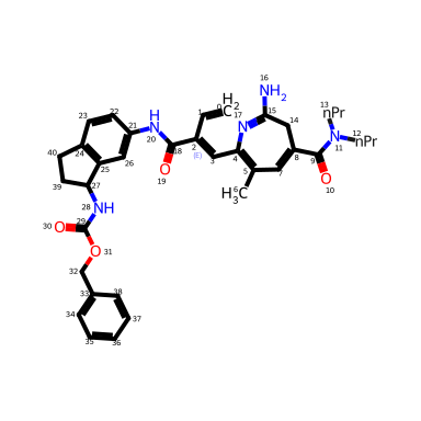 C=C/C(=C\C1=C(C)C=C(C(=O)N(CCC)CCC)CC(N)=N1)C(=O)Nc1ccc2c(c1)C(NC(=O)OCc1ccccc1)CC2